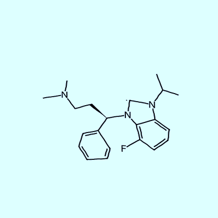 CC(C)N1[CH]N([C@H](CCN(C)C)c2ccccc2)c2c(F)cccc21